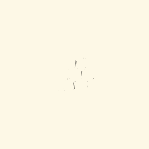 CC(=O)Oc1ccc(N(C(N)=O)c2ccccc2C)cc1